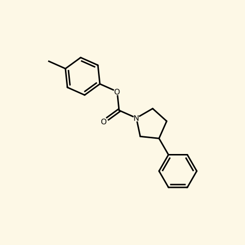 Cc1ccc(OC(=O)N2CCC(c3ccccc3)C2)cc1